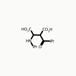 CC(C)NC(C(=O)O)C(C(=O)O)C(=O)C(C)C